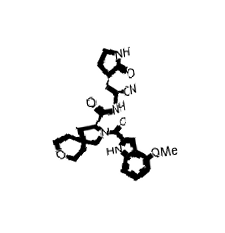 COc1cccc2[nH]c(C(=O)N3CC4(CCOCC4)C[C@H]3C(=O)N[C@H](C#N)C[C@@H]3CCNC3=O)cc12